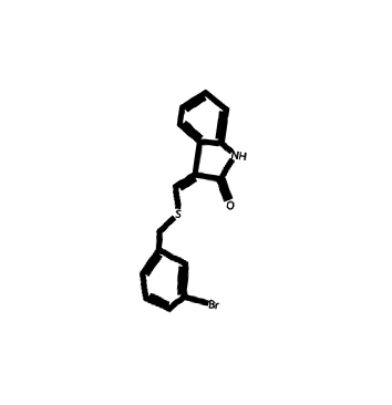 O=C1Nc2ccccc2C1=CSCc1cccc(Br)c1